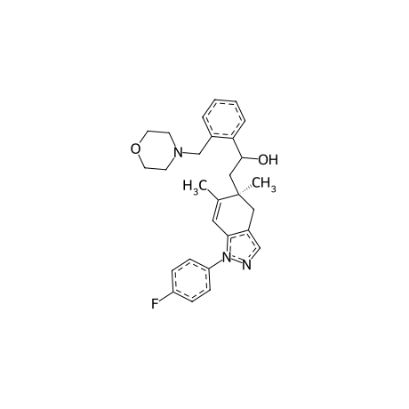 CC1=Cc2c(cnn2-c2ccc(F)cc2)C[C@]1(C)CC(O)c1ccccc1CN1CCOCC1